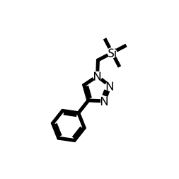 C[Si](C)(C)Cn1cc(-c2ccccc2)nn1